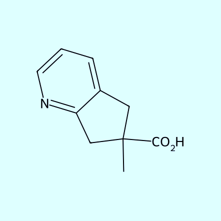 CC1(C(=O)O)Cc2cccnc2C1